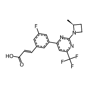 C[C@H]1CCN1c1nc(-c2cc(F)cc(/C=C/C(=O)O)c2)cc(C(F)(F)F)n1